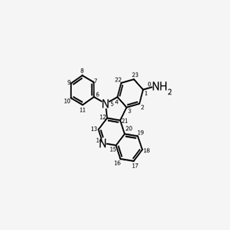 NC1C=c2c(n(-c3ccccc3)c3cnc4ccccc4c23)=CC1